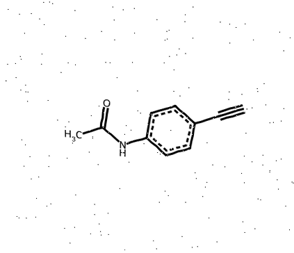 [C]#Cc1ccc(NC(C)=O)cc1